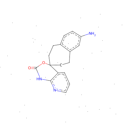 Nc1ccc2c(c1)CCC1(CC2)OC(=O)Nc2ncccc21